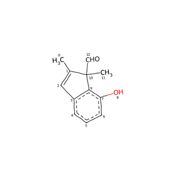 CC1=Cc2cccc(O)c2C1(C)C=O